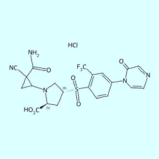 Cl.N#CC1(C(N)=O)CC1N1C[C@H](S(=O)(=O)c2ccc(-n3ccncc3=O)cc2C(F)(F)F)C[C@H]1C(=O)O